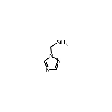 [SiH3]Cn1cncn1